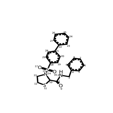 O=C(NCc1ccccc1)C1SCCN1S(=O)(=O)c1ccc(-c2ccccc2)cc1